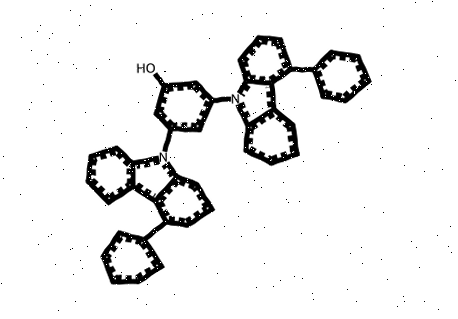 Oc1cc(-n2c3ccccc3c3c(-c4ccccc4)cccc32)cc(-n2c3ccccc3c3c(-c4ccccc4)cccc32)c1